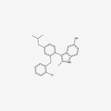 Cc1[nH]c2ccc(O)cc2c1-c1ccc(CC(C)C)cc1Cc1ccccc1Cl